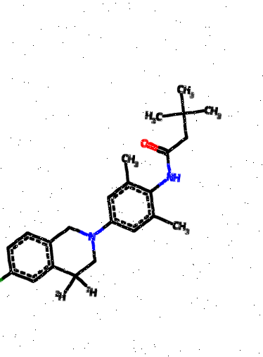 [2H]C1([2H])CN(c2cc(C)c(NC(=O)CC(C)(C)C)c(C)c2)Cc2ccc(F)cc21